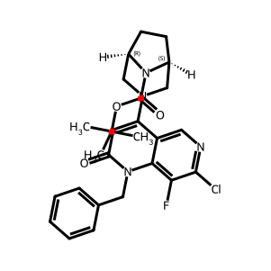 CC(C)(C)OC(=O)N1[C@@H]2CC[C@H]1CN(c1cc(=O)n(Cc3ccccc3)c3c(F)c(Cl)ncc13)C2